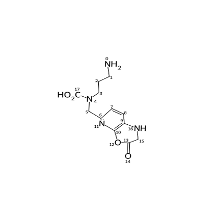 NCCCN(Cc1ccc2c(n1)OC(=O)CN2)C(=O)O